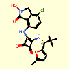 Cc1ccc([C@H](Nc2c(Nc3ccc(Cl)c4c3C(=O)N(O)C4)c(=O)c2=O)C(C)(C)C)o1